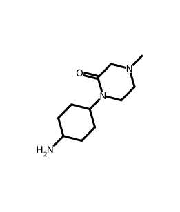 CN1CCN(C2CCC(N)CC2)C(=O)C1